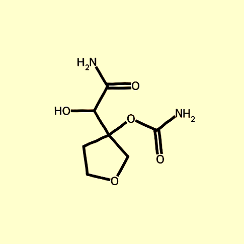 NC(=O)OC1(C(O)C(N)=O)CCOC1